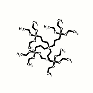 CCO[Si](CCC[Si](CCC[Si](OCC)(OCC)OCC)(CCC[Si](OCC)(OCC)OCC)CCC[Si](OCC)(OCC)OCC)(OCC)OCC